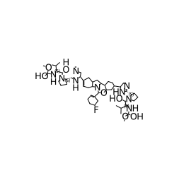 C=NCC(NC[C@@H]1CCCN1C(O)[C@@H](NC(O)OC)C(C)C)C1=CCC2C(C1)CC1C3CCC(C4CN=C([C@@H]5CCCN5C(O)[C@@H](NC(O)OC)C(C)C)N4)CC3OC(C3=CCCC(F)C3)N21